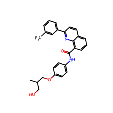 CC(CO)COc1ccc(NC(=O)c2cccc3ccc(-c4cccc(C(F)(F)F)c4)nc23)cc1